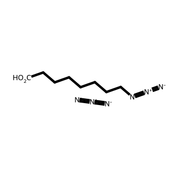 [N-]=[N+]=NCCCCCCCC(=O)O.[N-]=[N+]=[N-]